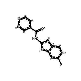 Cc1cc2sc(NC(=O)c3ccnnc3)nc2cn1